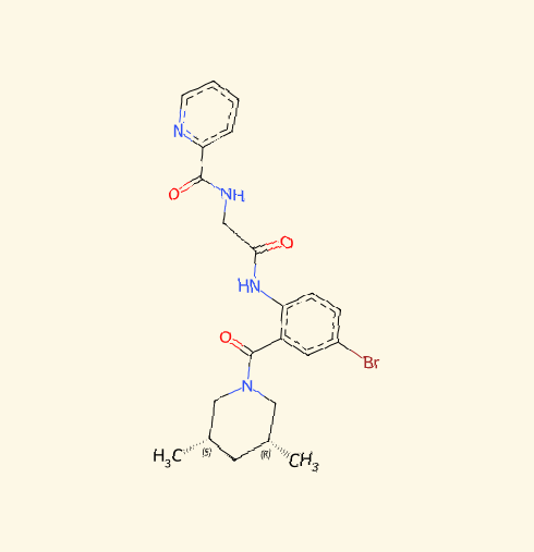 C[C@@H]1C[C@H](C)CN(C(=O)c2cc(Br)ccc2NC(=O)CNC(=O)c2ccccn2)C1